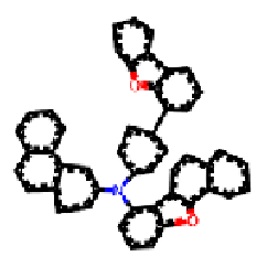 c1ccc2c(c1)ccc1ccc(N(c3ccc(-c4cccc5c4oc4ccccc45)cc3)c3cccc4oc5c6ccccc6ccc5c34)cc12